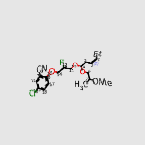 CC/C=C\CC(OCC(C)OC)OC[C@H](F)COc1ccc(Cl)cc1C#N